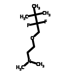 CN(C)CCOCC(F)(F)C(C)(C)C